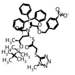 C[C@H](O[Si](C)(C)C(C)(C)C)[C@@H]1C(=O)N(C(C(=O)OCc2ccc([N+](=O)[O-])cc2)=P(c2ccccc2)(c2ccccc2)c2ccccc2)[C@@H]1SC(=O)CSc1nnnn1C